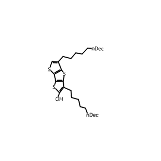 CCCCCCCCCCCCCCCc1csc2c1sc1c(CCCCCCCCCCCCCCC)c(O)sc12